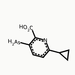 O=C(O)c1nc(C2CC2)ccc1[AsH2]